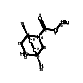 CC(C)(C)OC(=O)N1C[C@@H]2CC[C@]1(C)CN2